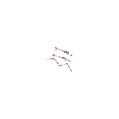 CCCCC.[Br][Mg][Br].[Br][Mg][Br]